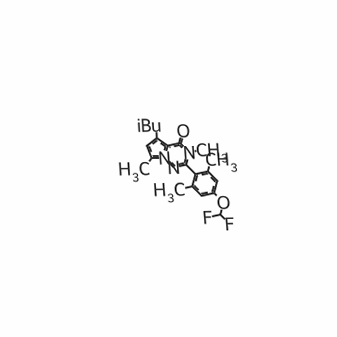 CCC(C)c1cc(C)n2nc(-c3c(C)cc(OC(F)F)cc3C)n(C)c(=O)c12